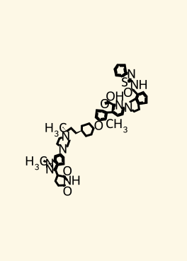 Cc1c(O[C@H]2CC[C@H](CC[C@@H](C)N3CCN(c4ccc5c(C6CCC(=O)NC6=O)nn(C)c5c4)CC3)CC2)cccc1-c1ccc(N2CCc3cccc(C(=O)Nc4nc5ccccc5s4)c3C2)nc1C(=O)O